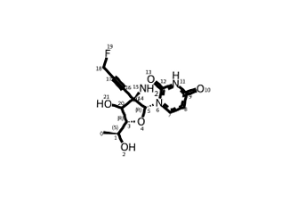 C[C@H](O)[C@H]1O[C@@H](n2ccc(=O)[nH]c2=O)[C@@](N)(C#CCF)C1O